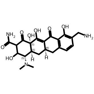 CN(C)[C@@H]1C(O)C(C(N)=O)C(=O)[C@@]2(O)C(O)=C3C(=O)c4c(ccc(CN)c4O)C[C@H]3C[C@@H]12